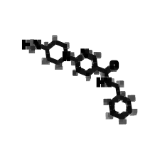 NC1CCN(c2ccc(C(=O)NCc3ccccc3)cn2)CC1